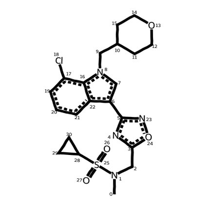 CN(Cc1nc(-c2cn(CC3CCOCC3)c3c(Cl)cccc23)no1)S(=O)(=O)C1CC1